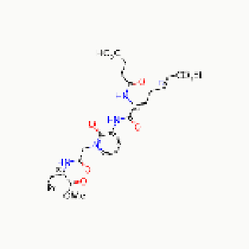 CCOC(=O)/C=C/CC[C@H](NC(=O)CCC(=O)O)C(=O)Nc1cccn(CC(=O)N[C@H](CC(C)C)C(=O)OC)c1=O